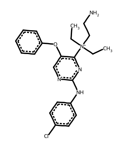 CC[N+](CC)(CCN)c1nc(Nc2ccc(Cl)cc2)ncc1Oc1ccccc1